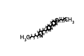 CCCCCCc1ccc(CCc2ccc(-c3ccc(OCCCCC)cc3)cc2)cn1